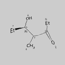 CCC(=O)C(C)[C@H](O)CC